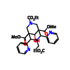 CCOC(=O)CN1C(c2ccccn2)C2(C(=O)OC)CN(C(=O)OCC)CC(C(=O)OC)(C1c1ccccn1)C2O